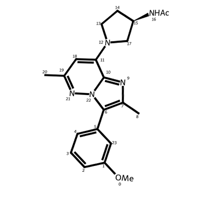 COc1cccc(-c2c(C)nc3c(N4CC[C@@H](NC(C)=O)C4)cc(C)nn23)c1